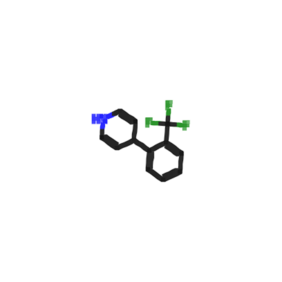 FC(F)(F)c1ccccc1C1C=CNC=C1